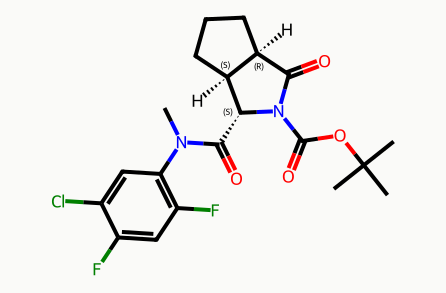 CN(C(=O)[C@@H]1[C@H]2CCC[C@H]2C(=O)N1C(=O)OC(C)(C)C)c1cc(Cl)c(F)cc1F